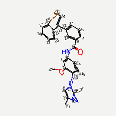 COc1cc(NC(=O)c2cccc(-c3csc4ccccc34)c2)ccc1-n1cnc(C)c1